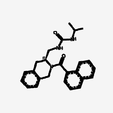 CC(C)NC(=O)NC[C@@H]1Cc2ccccc2CN1C(=O)c1cccc2ccccc12